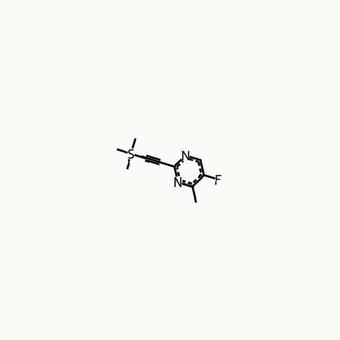 Cc1nc(C#CS(C)(C)C)ncc1F